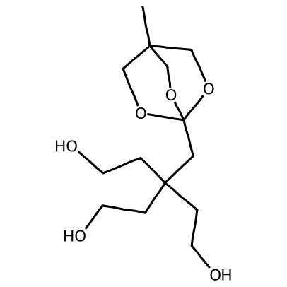 CC12COC(CC(CCO)(CCO)CCO)(OC1)OC2